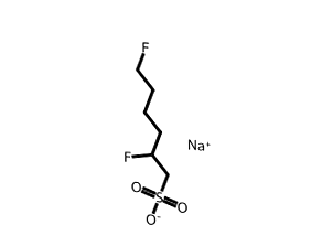 O=S(=O)([O-])CC(F)CCCCF.[Na+]